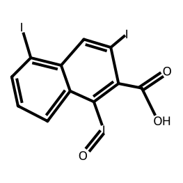 O=Ic1c(C(=O)O)c(I)cc2c(I)cccc12